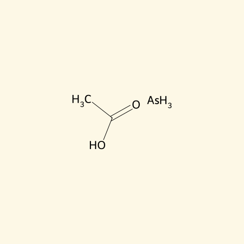 CC(=O)O.[AsH3]